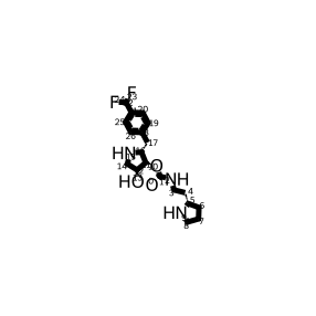 O=C(NCC[C@@H]1CCCN1)O[C@@H]1[C@@H](O)CN[C@@H]1Cc1ccc(C(F)F)cc1